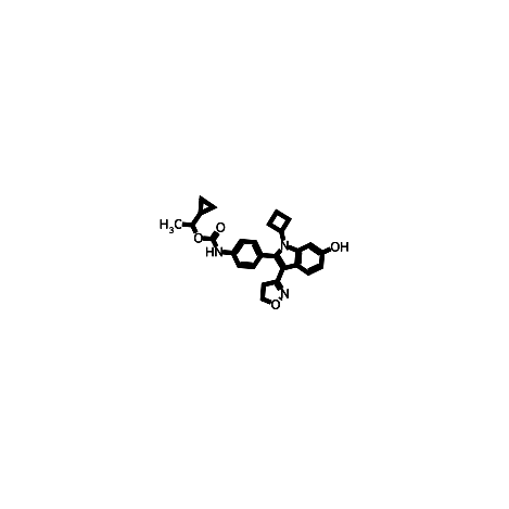 CC(OC(=O)Nc1ccc(-c2c(C3=NOCC3)c3ccc(O)cc3n2C2CCC2)cc1)C1CC1